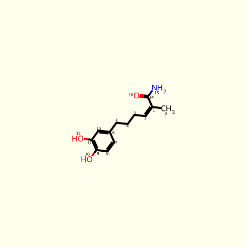 CC(=CCCCc1ccc(O)c(O)c1)C(N)=O